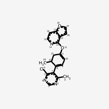 Cc1ncnc(Cl)c1C1=CC=C(Oc2nccc3occc23)CC1C